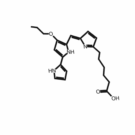 CCCOc1cc(-c2ccc[nH]2)[nH]c1C=C1C=CC(CCCCCC(=O)O)=N1